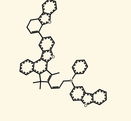 CC1=C(/C=C\CN(c2ccccc2)c2ccc3oc4ccccc4c3c2)C(C)(C)c2c1c1oc3ccc(C4=CCCc5c4oc4ccccc54)cc3c1c1ccccc21